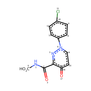 O=C(O)NC(=O)c1nn(-c2ccc(Cl)cc2)ccc1=O